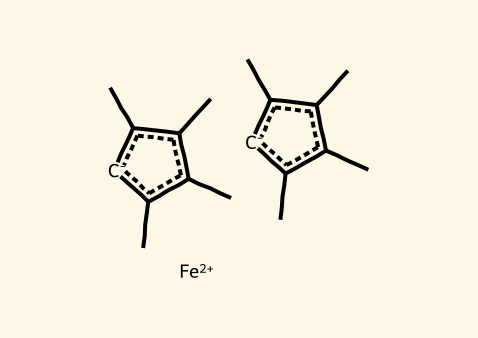 Cc1[cH-]c(C)c(C)c1C.Cc1[cH-]c(C)c(C)c1C.[Fe+2]